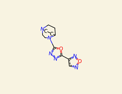 c1nonc1-c1nnc(N2CCN3CCC2CC3)o1